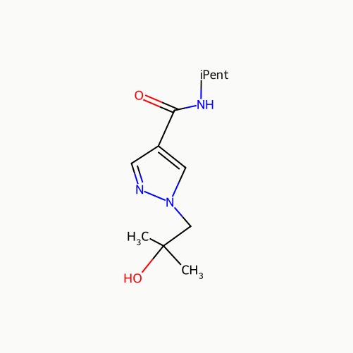 CCCC(C)NC(=O)c1cnn(CC(C)(C)O)c1